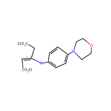 CCOC(=O)/C=C(/CC(=O)OCC)Nc1ccc(N2CCOCC2)cc1